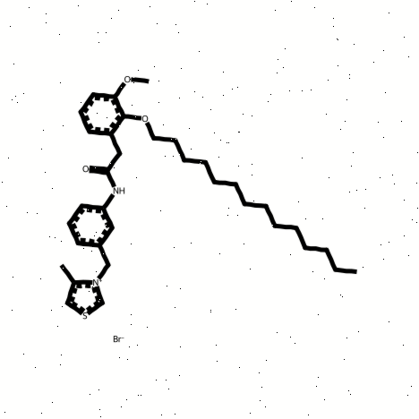 CCCCCCCCCCCCCCOc1c(CC(=O)Nc2cccc(C[n+]3cscc3C)c2)cccc1OC.[Br-]